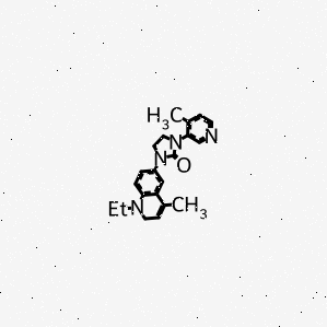 CCN1CC=C(C)c2cc(N3CCN(c4cnccc4C)C3=O)ccc21